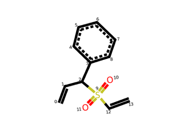 C=CC(c1ccccc1)S(=O)(=O)C=C